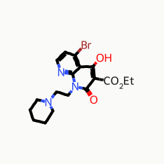 CCOC(=O)c1c(O)c2c(Br)ccnc2n(CCN2CCCCC2)c1=O